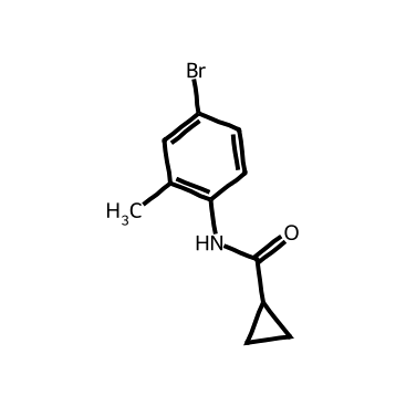 Cc1cc(Br)ccc1NC(=O)C1CC1